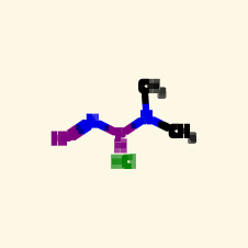 CN(C)PN=P.Cl